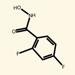 O=C(NO)c1ccc(F)cc1F